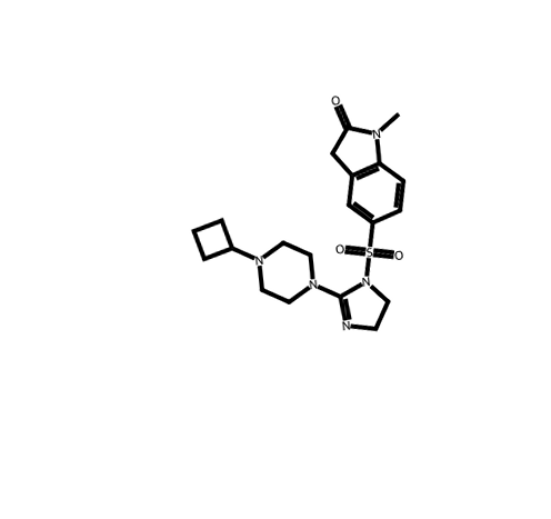 CN1C(=O)Cc2cc(S(=O)(=O)N3CCN=C3N3CCN(C4CCC4)CC3)ccc21